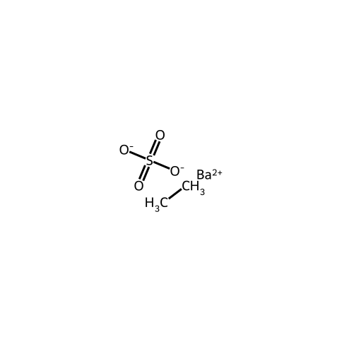 CC.O=S(=O)([O-])[O-].[Ba+2]